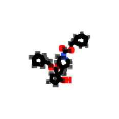 O=C(OCc1ccccc1)N1CCC(CC2(C(=O)OCc3ccccc3)CCCC2O)CC1